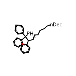 CCCCCCCCCCCCCCCCC(c1ccccc1)C(P)(c1ccccc1)c1ccccc1